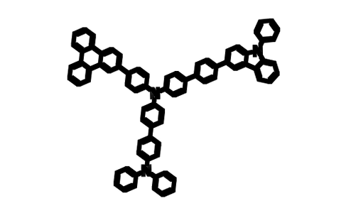 c1ccc(N(c2ccccc2)c2ccc(-c3ccc(N(c4ccc(-c5ccc(-c6ccc7c(c6)c6ccccc6n7-c6ccccc6)cc5)cc4)c4ccc(-c5ccc6c7ccccc7c7ccccc7c6c5)cc4)cc3)cc2)cc1